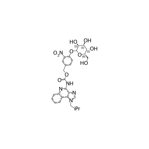 CC(C)Cn1cnc2c(NC(=O)OCc3ccc(OC4O[C@H](CO)[C@@H](O)[C@H](O)[C@@H]4O)c([N+](=O)[O-])c3)nc3ccccc3c21